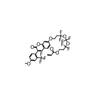 C=CC(=O)OCCC(F)(F)OC(F)(F)OC(F)(F)CCOc1ccc2cc(-c3ccc(OC)cc3C(F)(F)F)c(=O)oc2c1